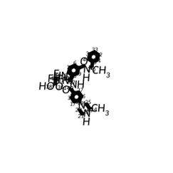 CC(NC(=O)c1ccc2[nH]nc(NC(=O)c3ccc(N4CCN[C@H](C)C4)cc3)c2c1)c1ccccc1.O=C(O)C(F)(F)F